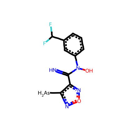 N=C(c1nonc1[AsH2])N(O)c1cccc(C(F)F)c1